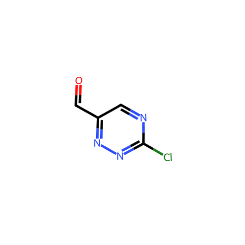 O=Cc1cnc(Cl)nn1